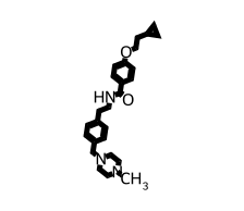 CN1CCN(Cc2ccc(CCNC(=O)c3ccc(OCCC4CC4)cc3)cc2)CC1